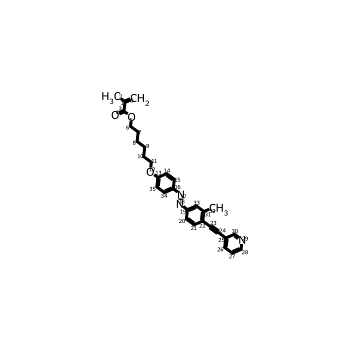 C=C(C)C(=O)OCCCCCCOc1ccc(/N=N/c2ccc(C#Cc3cccnc3)c(C)c2)cc1